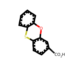 O=C(O)c1ccc2c(c1)Oc1ccccc1S2